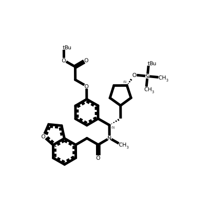 CN(C(=O)Cc1cccc2occc12)[C@@H](CC1CC[C@H](O[Si](C)(C)C(C)(C)C)C1)c1cccc(OCC(=O)OC(C)(C)C)c1